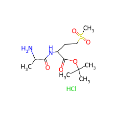 CC(N)C(=O)NC(CCS(C)(=O)=O)C(=O)OC(C)(C)C.Cl